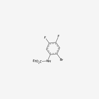 CCOC(=O)Nc1cc(F)c(F)cc1Br